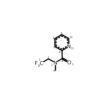 CN(CC(F)(F)F)C(=O)c1[c]cccn1